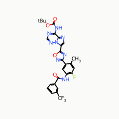 Cc1cc(F)c(NC(=O)c2cccc(C(F)(F)F)c2)cc1-c1noc(-c2cnc3c(NC(=O)OC(C)(C)C)ncnn23)n1